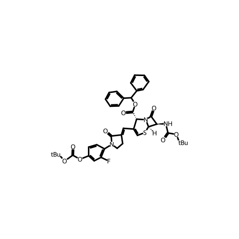 CC(C)(C)OC(=O)N[C@@H]1C(=O)N2[C@@H](C(=O)OC(c3ccccc3)c3ccccc3)C(C=C3CCN(c4ccc(OC(=O)OC(C)(C)C)cc4F)C3=O)=CS[C@H]12